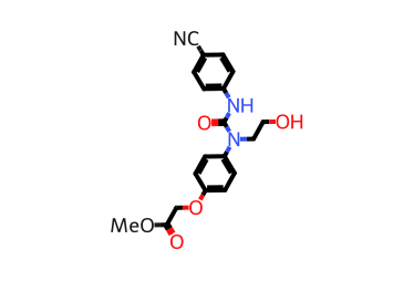 COC(=O)COc1ccc(N(CCO)C(=O)Nc2ccc(C#N)cc2)cc1